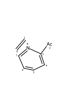 C=C.CC(=O)c1ccccn1